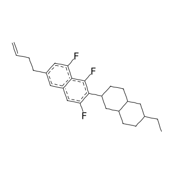 C=CCCc1cc(F)c2c(F)c(C3CCC4CC(CC)CCC4C3)c(F)cc2c1